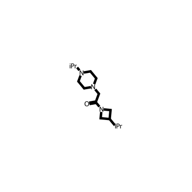 CC(C)C1CN(C(=O)CN2CCN(C(C)C)CC2)C1